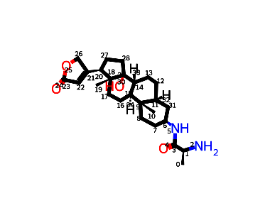 C[C@H](N)C(=O)N[C@H]1CC[C@@]2(C)[C@H](CC[C@@H]3[C@@H]2CC[C@]2(C)[C@@H](C4=CC(=O)OC4)CC[C@]32O)C1